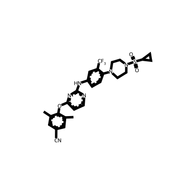 Cc1cc(C#N)cc(C)c1Oc1ccnc(Nc2ccc(N3CCN(S(=O)(=O)C4CC4)CC3)c(C(F)(F)F)c2)n1